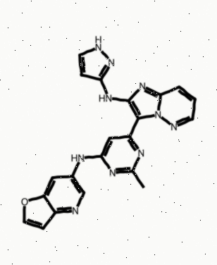 Cc1nc(Nc2cnc3ccoc3c2)cc(-c2c(Nc3cc[nH]n3)nc3cccnn23)n1